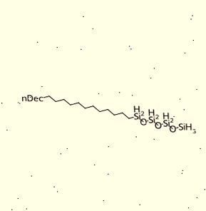 CCCCCCCCCCCCCCCCCCCCCC[SiH2]O[SiH2]O[SiH2]O[SiH3]